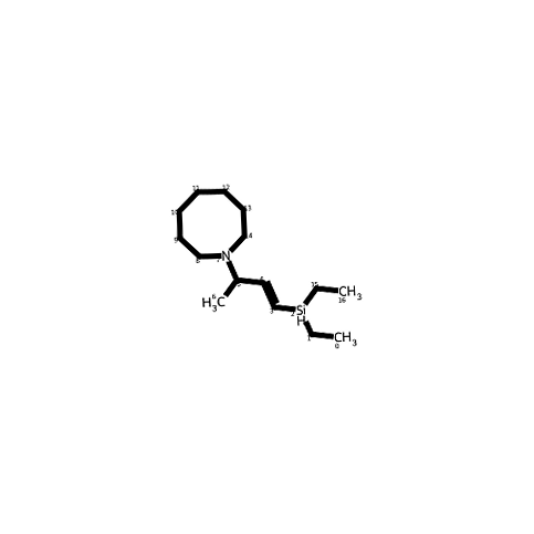 CC[SiH](C=CC(C)N1CCCCCCC1)CC